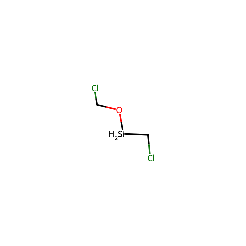 ClCO[SiH2]CCl